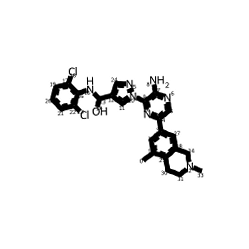 Cc1cc(-c2cnc(N)c(-n3cc(C(O)Nc4c(Cl)cccc4Cl)cn3)n2)cc2c1CCN(C)C2